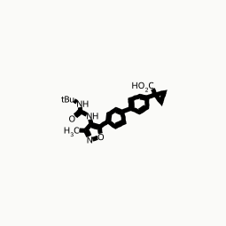 Cc1noc(-c2ccc(-c3ccc(C4(C(=O)O)CC4)cc3)cc2)c1NC(=O)NC(C)(C)C